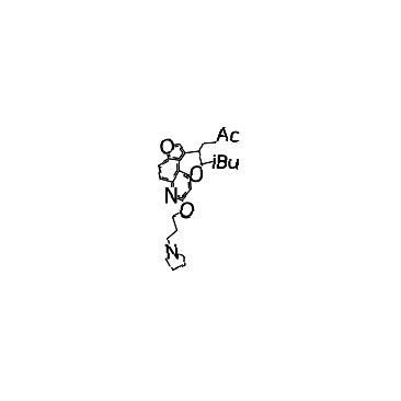 CCC(C)C(=O)C(CCC(C)=O)c1coc2ccc3nc(OCCCN4CCCC4)ccc3c12